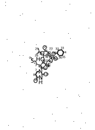 CSCC[C@@H]1[C@H](n2ccc(=O)[nH]c2=O)O[C@](F)(COP(=O)(N[C@@H](C)C(=O)OC(C)C)Oc2ccccc2)[C@H]1O